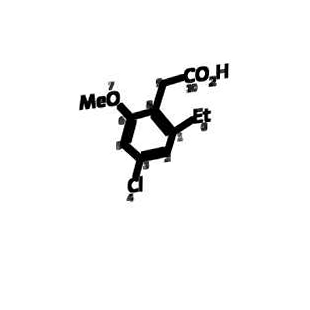 CCc1cc(Cl)cc(OC)c1CC(=O)O